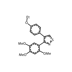 CCOc1ccc(-c2csnc2-c2cc(OC)c(OC)cc2OC)cc1